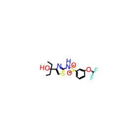 CCC(O)(CC)c1csc(NS(=O)(=O)c2cccc(OC(F)F)c2)n1